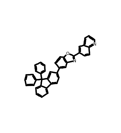 c1ccc(C2(c3ccccc3)c3ccccc3-c3ccc(-c4ccc5oc(-c6ccc7ncccc7c6)nc5c4)cc32)cc1